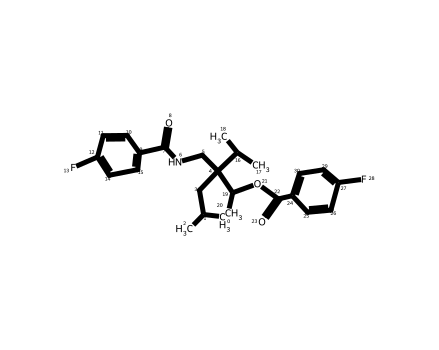 CC(C)CC(CNC(=O)c1ccc(F)cc1)(C(C)C)C(C)OC(=O)c1ccc(F)cc1